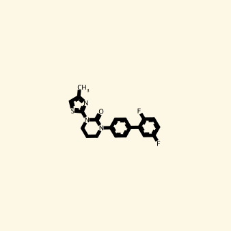 Cc1csc(N2CCCN(c3ccc(-c4cc(F)ccc4F)cc3)C2=O)n1